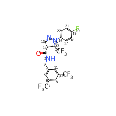 O=C(NCc1cc(C(F)(F)F)cc(C(F)(F)F)c1)c1cnn(-c2ccc(F)cc2)c1C(F)(F)F